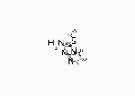 CCSc1c(N)nc2ncccn12